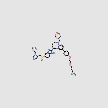 CCCCOCCOc1ccc(-c2ccc3c(c2)/C=C(/c2nc4cc([S+]([O-])Cc5cncn5CCC)ccc4[nH]2)CCCN3CC2CCOCC2)cc1